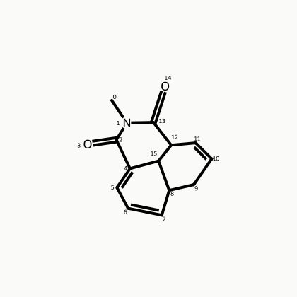 CN1C(=O)C2=CC=CC3CC=CC(C1=O)C23